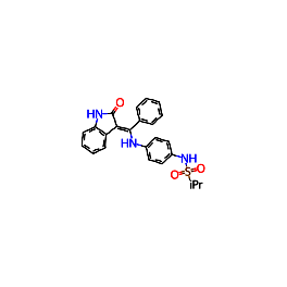 CC(C)S(=O)(=O)Nc1ccc(NC(=C2C(=O)Nc3ccccc32)c2ccccc2)cc1